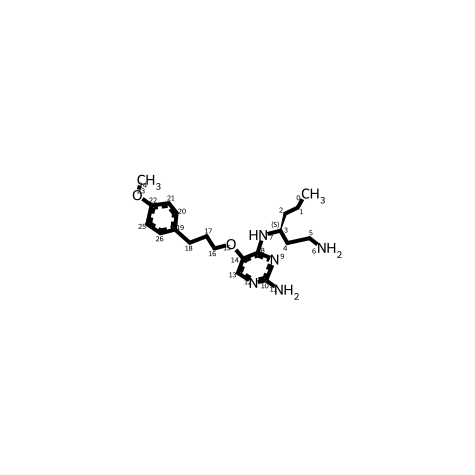 CCC[C@@H](CCN)Nc1nc(N)ncc1OCCCc1ccc(OC)cc1